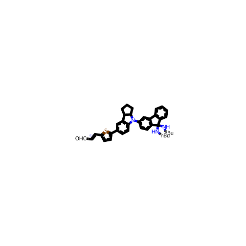 CCCCNC1(NCCCC)c2ccccc2-c2cc(N3c4ccc(-c5ccc(/C=C/C=O)s5)cc4C4CCCC43)ccc21